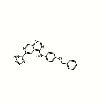 c1ccc(COc2ccc(Nc3ncnc4cnc(-c5ncc[nH]5)cc34)cc2)cc1